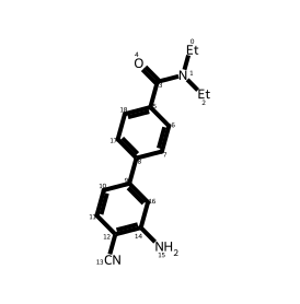 CCN(CC)C(=O)c1ccc(-c2ccc(C#N)c(N)c2)cc1